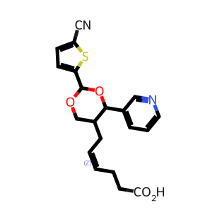 N#Cc1ccc(C2OCC(C/C=C\CCC(=O)O)C(c3cccnc3)O2)s1